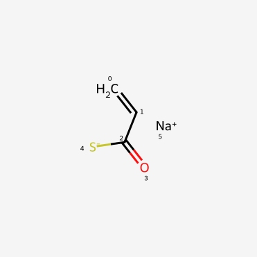 C=CC(=O)[S-].[Na+]